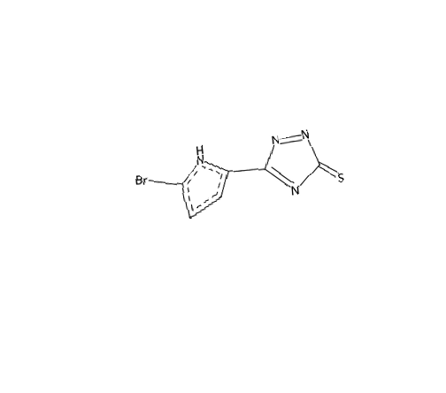 S=C1N=NC(c2ccc(Br)[nH]2)=N1